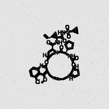 C=C[C@@H]1C[C@]1(NC(=O)[C@@H]1C[C@@H]2CN1C(=O)[C@H](C1CCCC1)NC(=O)O[C@@H]1CCC[C@H]1CCC=CCc1c(nc3cccc(Cl)c3c1OC)O2)C(=O)NS(=O)(=O)C1CC1